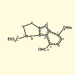 CCOC(=O)N1CCc2oc3c(OC)ccc(C=O)c3c2C1